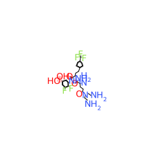 NCCN(CCN)C(=O)CCC(N)C(=O)NC(CCc1ccc(C(F)(F)F)cc1)C(=O)Nc1cc(B(O)O)cc(F)c1F